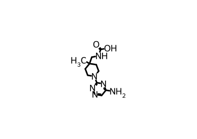 CC1(CNC(=O)O)CCN(c2nncc(N)n2)CC1